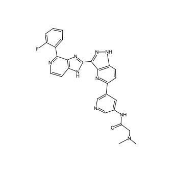 CN(C)CC(=O)Nc1cncc(-c2ccc3[nH]nc(-c4nc5c(-c6ccccc6F)nccc5[nH]4)c3n2)c1